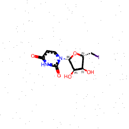 O=c1ccn([C@@H]2O[C@H](CI)[C@@H](O)[C@H]2O)c(=O)[nH]1